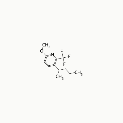 CCCC(C)c1ccc(OC)nc1C(F)(F)F